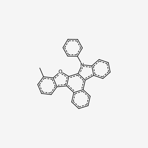 Cc1cccc2c1oc1c2c2ccccc2c2c3ccccc3n(-c3ccccc3)c12